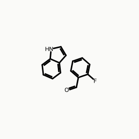 O=Cc1ccccc1F.c1ccc2[nH]ccc2c1